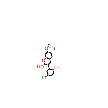 Bc1ccc(Cl)cc1C1=Cc2ccc(OC)cc2OC1O